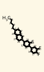 CCCCCc1ccc2cc(-c3ccc(-c4ccc(F)c(F)c4)c(F)c3)ccc2c1